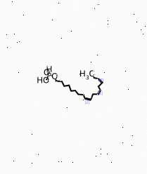 CC/C=C\C/C=C\C/C=C\CCCCCCCCO[PH](=O)O